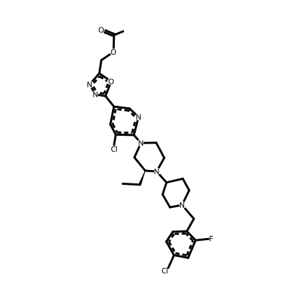 CC[C@H]1CN(c2ncc(-c3nnc(COC(C)=O)o3)cc2Cl)CCN1C1CCN(Cc2ccc(Cl)cc2F)CC1